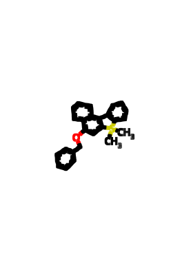 CS1(C)c2ccccc2-c2c1cc(OCc1ccccc1)c1ccccc21